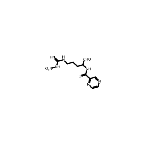 N=C(NCCCC(C=O)NC(=O)c1cnccn1)N[N+](=O)[O-]